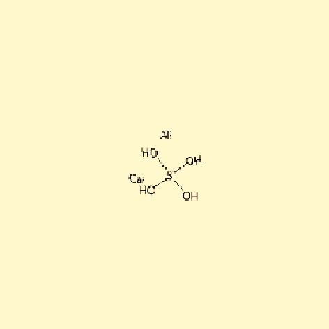 O[Si](O)(O)O.[Al].[Ca]